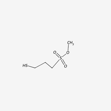 COS(=O)(=O)CCCS